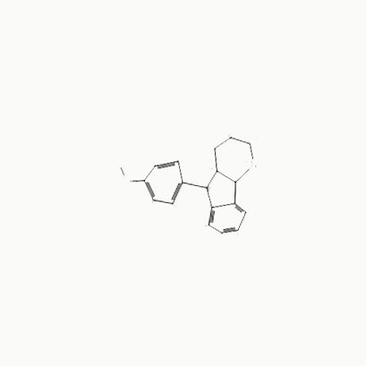 CCCCOc1ccc(C2c3ccccc3C3NCCCC32)cc1